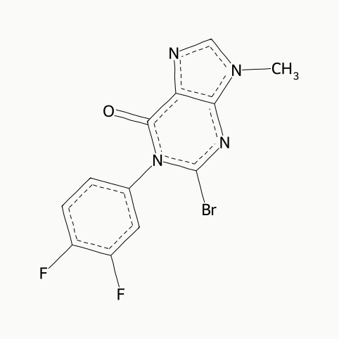 Cn1cnc2c(=O)n(-c3ccc(F)c(F)c3)c(Br)nc21